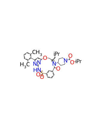 Cc1cccc(C)c1-c1cc2nc(n1)NS(=O)(=O)c1cccc(c1)C(=O)N(C1CCN(C(=O)OC(C)C)CC1)[C@H](CC(C)C)CO2